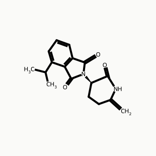 C=C1CC[C@@H](N2C(=O)c3cccc(C(C)C)c3C2=O)C(=O)N1